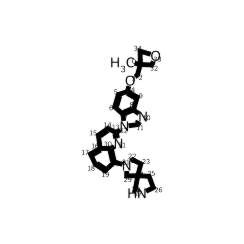 CC1(COc2ccc3c(c2)ncn3-c2ccc3cccc(N4CCC5(CCNC5)C4)c3n2)COC1